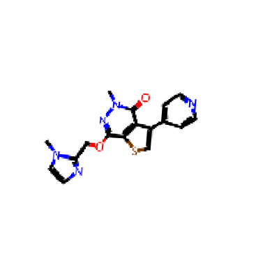 Cn1ccnc1COc1nn(C)c(=O)c2c(-c3ccncc3)csc12